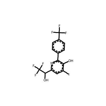 Oc1c(I)cc(C(O)C(F)(F)F)nc1-c1ccc(C(F)(F)F)cc1